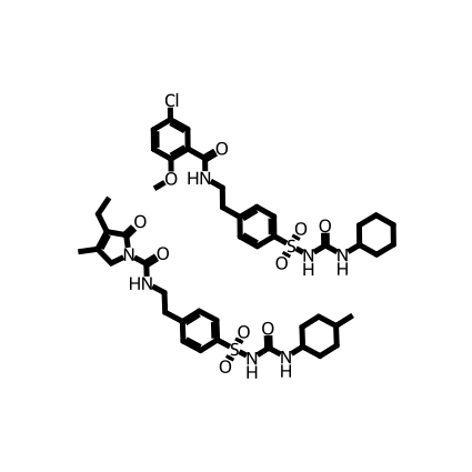 CCC1=C(C)CN(C(=O)NCCc2ccc(S(=O)(=O)NC(=O)NC3CCC(C)CC3)cc2)C1=O.COc1ccc(Cl)cc1C(=O)NCCc1ccc(S(=O)(=O)NC(=O)NC2CCCCC2)cc1